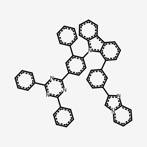 c1ccc(-c2nc(-c3ccccc3)nc(-c3ccc(-n4c5ccccc5c5cccc(-c6cccc(-c7cn8ccccc8n7)c6)c54)c(-c4ccccc4)c3)n2)cc1